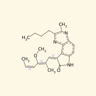 C\C=C/C(OC)=C(C)/C=C1\C(=O)Nc2ccc3nc(C)c(CCCC)nc3c21